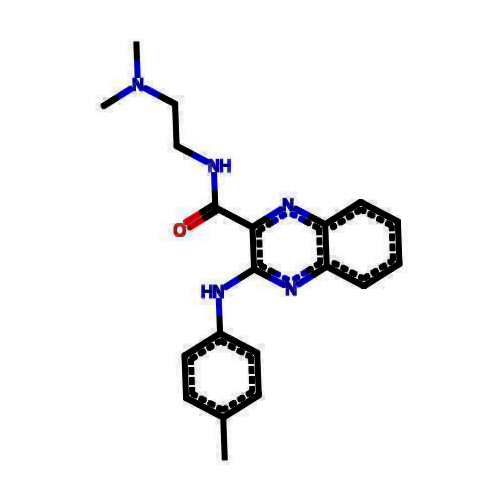 Cc1ccc(Nc2nc3ccccc3nc2C(=O)NCCN(C)C)cc1